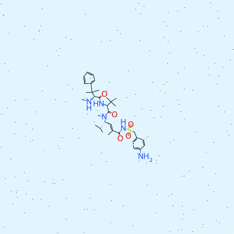 CN[C@H](C(=O)N[C@H](C(=O)N(C)[C@H](C=C(C)C(=O)NS(=O)(=O)Cc1ccc(N)cc1)C(C)C)C(C)(C)C)C(C)(C)c1ccccc1